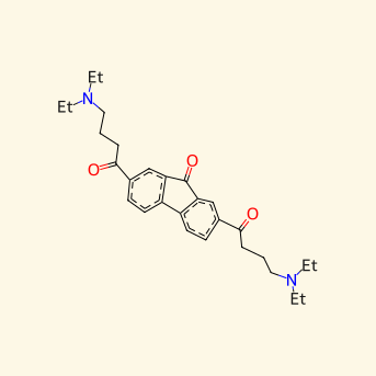 CCN(CC)CCCC(=O)c1ccc2c(c1)C(=O)c1cc(C(=O)CCCN(CC)CC)ccc1-2